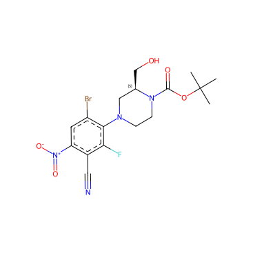 CC(C)(C)OC(=O)N1CCN(c2c(Br)cc([N+](=O)[O-])c(C#N)c2F)C[C@H]1CO